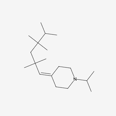 CC(C)N1CCC(=CC(C)(C)CC(C)(C)C(C)C)CC1